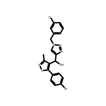 Cc1noc(-c2ccc(Br)cc2)c1C(O)c1cn(Cc2cccc(Cl)c2)nn1